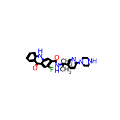 CC(C)(NC(=O)c1cc2[nH]c3ccccc3c(=O)c2cc1F)c1ccc(N2CCNCC2)nc1